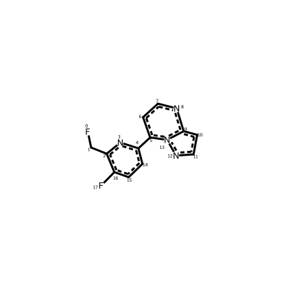 FCc1nc(-c2ccnc3ccnn23)ccc1F